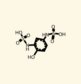 O=S(=O)(O)Nc1ccc(O)c(NS(=O)(=O)O)c1